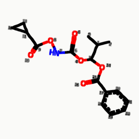 CC(C)C(OC(=O)NOC(=O)C1CC1)OC(=O)c1ccccc1